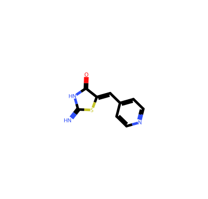 N=C1NC(=O)/C(=C/c2ccncc2)S1